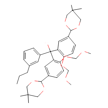 CCCc1cccc(C(O)(c2cc(C3OCC(C)(C)CO3)ccc2OCOC)c2cc(C3OCC(C)(C)CO3)ccc2OCOC)c1